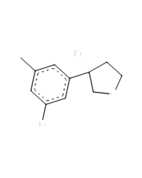 CC[C@]1(c2cc(C)cc(Br)c2)CCOC1